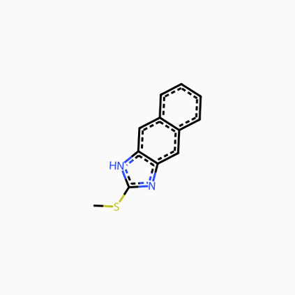 CSc1nc2cc3ccccc3cc2[nH]1